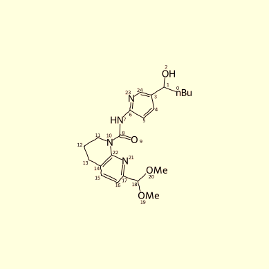 CCCCC(O)c1ccc(NC(=O)N2CCCc3ccc(C(OC)OC)nc32)nc1